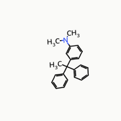 CN(C)c1cccc(C(C)(c2ccccc2)c2ccccc2)c1